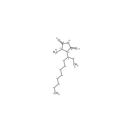 CCCCCCCCC(CC)C1C(=O)OC(=O)C1C